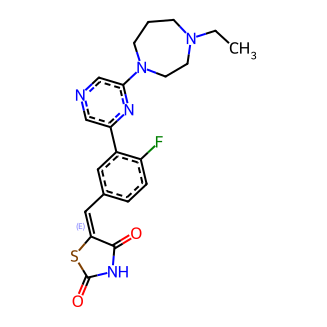 CCN1CCCN(c2cncc(-c3cc(/C=C4/SC(=O)NC4=O)ccc3F)n2)CC1